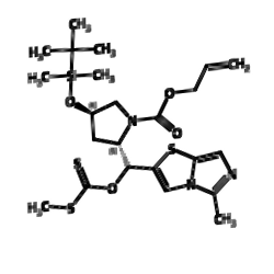 C=CCOC(=O)N1C[C@H](O[Si](C)(C)C(C)(C)C)C[C@H]1C(OC(=S)SC)c1cn2c(C)ncc2s1